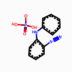 N#[N+]c1ccccc1Nc1ccccc1.O=P([O-])(O)O